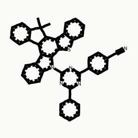 CC1(C)c2ccccc2-c2c1c1c3ccccc3sc1c1c2c2ccccc2n1-c1nc(-c2ccccc2)nc(-c2ccc(C#N)cc2)n1